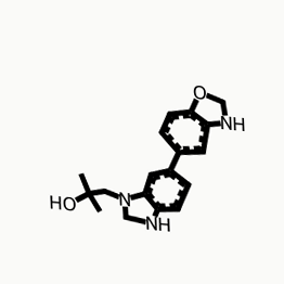 CC(C)(O)CN1CNc2ccc(-c3ccc4c(c3)NCO4)cc21